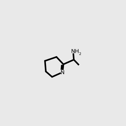 CC(N)C1=NCCCC1